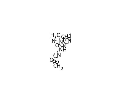 CCS(=O)(=O)c1ccc(CNc2nc3cnc(Cl)nc3n([C@H](C#N)C(C)C)c2=O)nc1